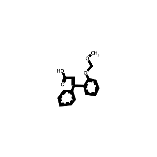 COCOc1ccccc1C(=CC(=O)O)c1ccccc1